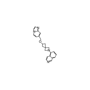 c1cc(N2CC3(CC(OCc4ccn5ccnc5c4)C3)C2)c2ccncc2c1